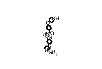 Nc1nccc(-c2ccc3nc(NC(=O)c4ccc(OC5CCNCC5)cc4)sc3c2)n1